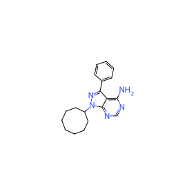 Nc1ncnc2c1c(-c1ccccc1)nn2C1CCCCCCC1